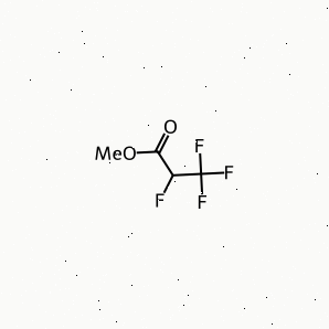 COC(=O)C(F)C(F)(F)F